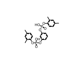 Cc1ccc(OP(=O)(O)Oc2cccc(OP(=O)(O)Oc3ccc(C)cc3C)c2)c(C)c1